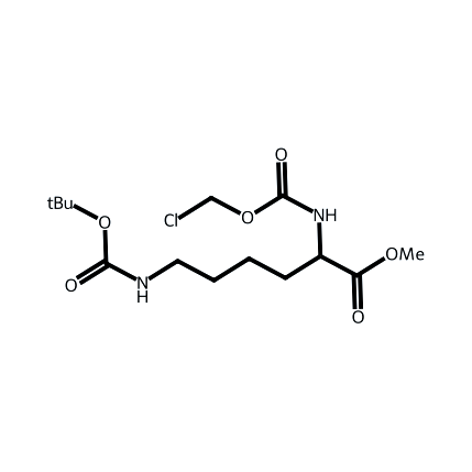 COC(=O)C(CCCCNC(=O)OC(C)(C)C)NC(=O)OCCl